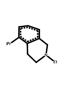 CCN1CCc2c(cccc2C(C)C)C1